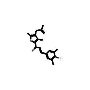 C=C(C)Cc1c(C)sc(C(=O)C=Cc2cc(C)c(O)c(C)c2)c1C